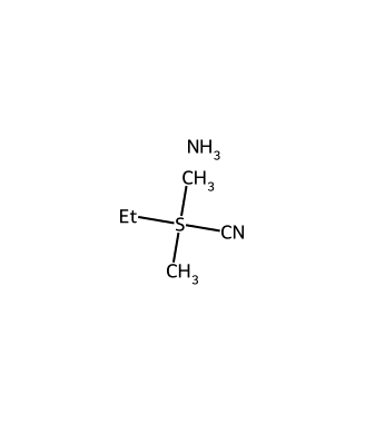 CCS(C)(C)C#N.N